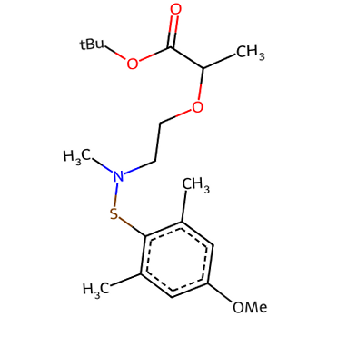 COc1cc(C)c(SN(C)CCOC(C)C(=O)OC(C)(C)C)c(C)c1